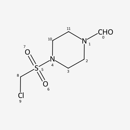 O=CN1CCN(S(=O)(=O)CCl)CC1